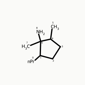 CCCC1CCC(C)C1(C)N